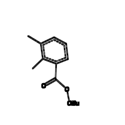 Cc1cccc(C(=O)OO[CH]C(C)C)c1C